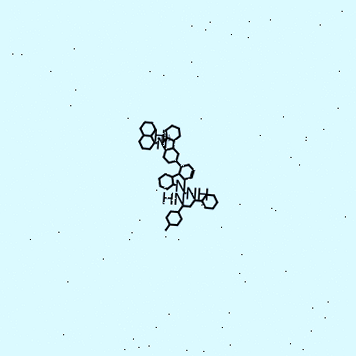 CC1CCC(C2CC(C3CCCCC3)NC(N3C4C=CCC(C5CCC6C(C5)C5CCCC[C@H]5N6C5CCCC6CCCCC65)C4C4CCCCC43)N2)CC1